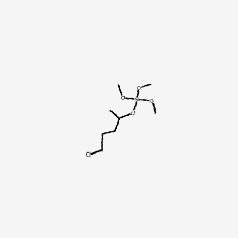 CO[Si](OC)(OC)OC(C)CCCCl